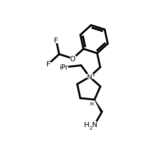 CC(C)C[N+]1(Cc2ccccc2OC(F)F)CC[C@H](CN)C1